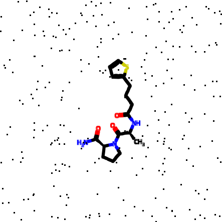 C[C@H](NC(=O)CCCc1cccs1)C(=O)N1CCC[C@H]1C(N)=O